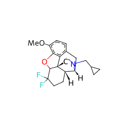 COc1ccc2c3c1OC1C(F)(F)CC[C@H]4[C@@H](C2)N(CC2CC2)CC[C@]314